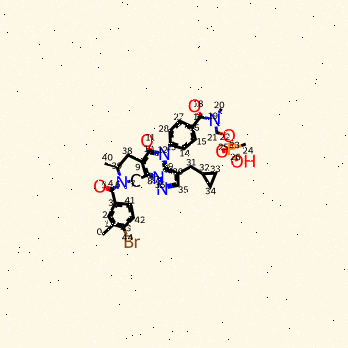 Cc1cc(C(=O)N2Cc3c(c(=O)n(-c4ccc(C(=O)N(C)COP(C)(=O)O)cc4)c4c(CC5CC5)cnn34)C[C@@H]2C)ccc1Br